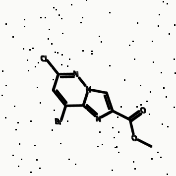 COC(=O)c1cn2nc(Cl)cc(Br)c2n1